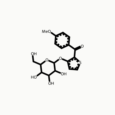 COc1ccc(C(=O)c2sccc2OC2OC(CO)C(O)C(O)C2O)cc1